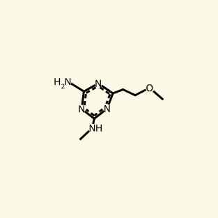 CNc1nc(N)nc(CCOC)n1